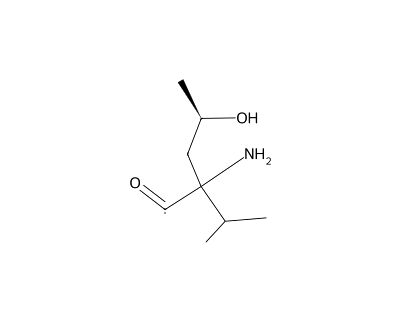 CC(C)C(N)([C]=O)C[C@@H](C)O